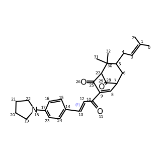 CC(C)=CCC1CC2C=C(C(=O)/C=C/c3ccc(N4CCCC4)cc3)C(=O)C(C2=O)C1(C)C